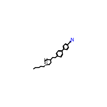 CCCCC[SiH]1CCC(CCc2ccc(-c3ccc(C#N)cc3)cc2)CC1